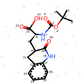 CC(C)(C)OC(=O)N[C@@H](CC1Cc2ccccc2NC1=O)C(=O)O